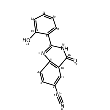 N#[N+]c1ccc2nc(-c3ccccc3O)[nH]c(=O)c2c1